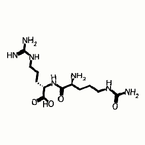 N=C(N)NCCC[C@H](NC(=O)[C@@H](N)CCCNC(N)=O)C(=O)O